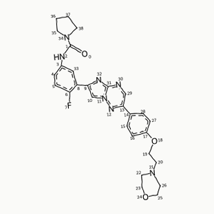 O=C(Nc1ccc(F)c(-c2cn3nc(-c4ccc(OCCN5CCOCC5)cc4)cnc3n2)c1)N1CCCC1